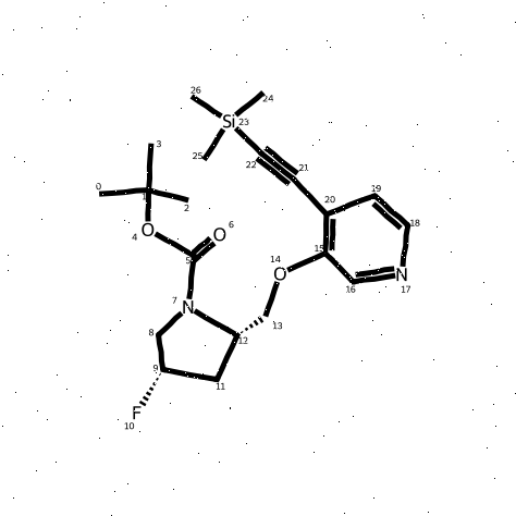 CC(C)(C)OC(=O)N1C[C@@H](F)C[C@H]1COc1cnccc1C#C[Si](C)(C)C